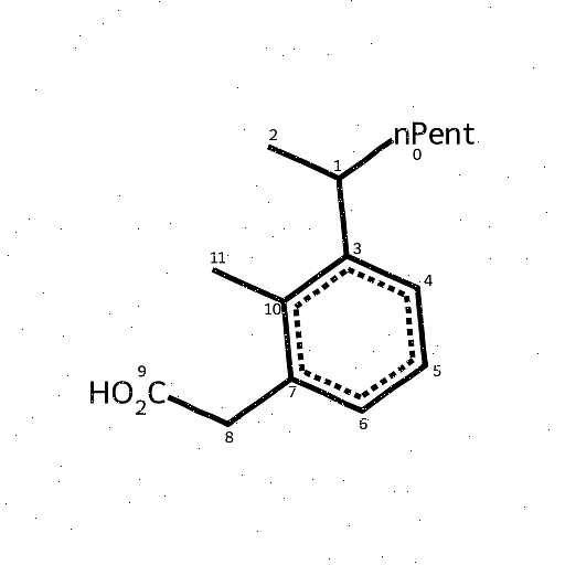 CCCCCC(C)c1cccc(CC(=O)O)c1C